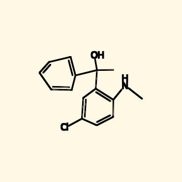 CNc1ccc(Cl)cc1C(C)(O)c1ccccc1